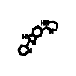 c1ccc(-c2nc3cc(C4=NCCCN4)ccc3[nH]2)nc1